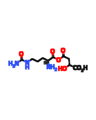 NC(=O)NCCC[C@H](N)C(=O)OC(=O)CC(O)C(=O)O